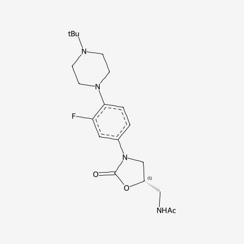 CC(=O)NC[C@H]1CN(c2ccc(N3CCN(C(C)(C)C)CC3)c(F)c2)C(=O)O1